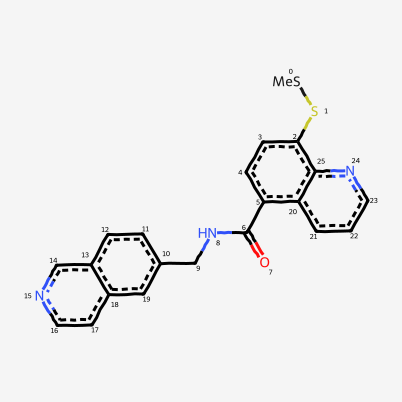 CSSc1ccc(C(=O)NCc2ccc3cnccc3c2)c2cccnc12